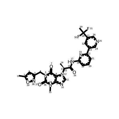 Cc1cc(Cn2c(=O)c3c(ncn3[C@@H](C)C(=O)Nc3cccc(-c4cncc(C(C)(F)F)c4)n3)n(C)c2=O)no1